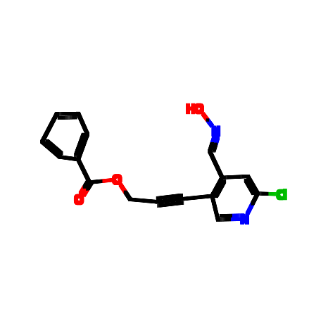 O=C(OCC#Cc1cnc(Cl)cc1C=NO)c1ccccc1